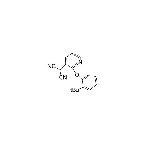 CC(C)(C)c1ccccc1Oc1ncccc1C(C#N)C#N